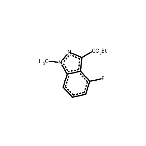 CCOC(=O)c1nn(C)c2cccc(F)c12